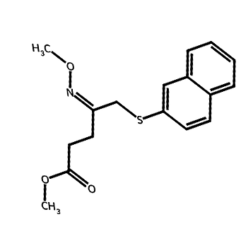 CO/N=C(/CCC(=O)OC)CSc1ccc2ccccc2c1